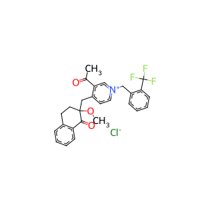 COC1(Cc2cc[n+](Cc3ccccc3C(F)(F)F)cc2C(C)=O)CCc2ccccc2C1=O.[Cl-]